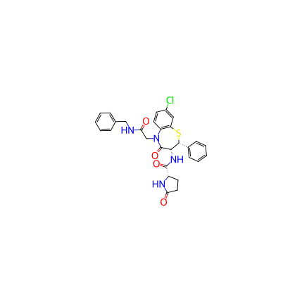 O=C(CN1C(=O)[C@@H](NC(=O)[C@@H]2CCC(=O)N2)[C@@H](c2ccccc2)Sc2cc(Cl)ccc21)NCc1ccccc1